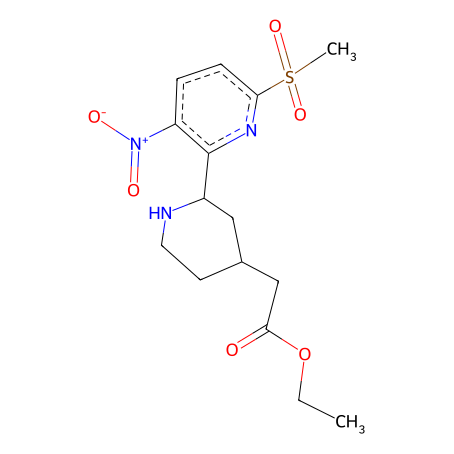 CCOC(=O)CC1CCNC(c2nc(S(C)(=O)=O)ccc2[N+](=O)[O-])C1